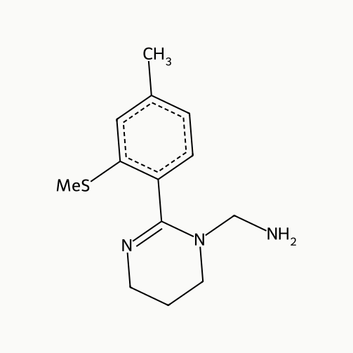 CSc1cc(C)ccc1C1=NCCCN1CN